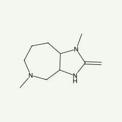 C=C1NC2CN(C)CCCC2N1C